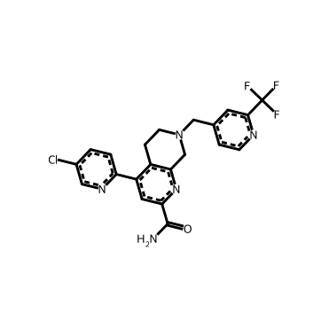 NC(=O)c1cc(-c2ccc(Cl)cn2)c2c(n1)CN(Cc1ccnc(C(F)(F)F)c1)CC2